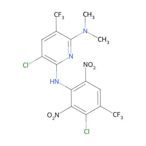 CN(C)c1nc(Nc2c([N+](=O)[O-])cc(C(F)(F)F)c(Cl)c2[N+](=O)[O-])c(Cl)cc1C(F)(F)F